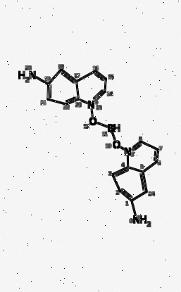 Nc1ccc2c(ccc[n+]2OBO[n+]2cccc3cc(N)ccc32)c1